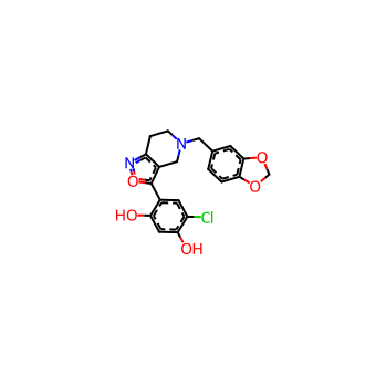 Oc1cc(O)c(-c2onc3c2CN(Cc2ccc4c(c2)OCO4)CC3)cc1Cl